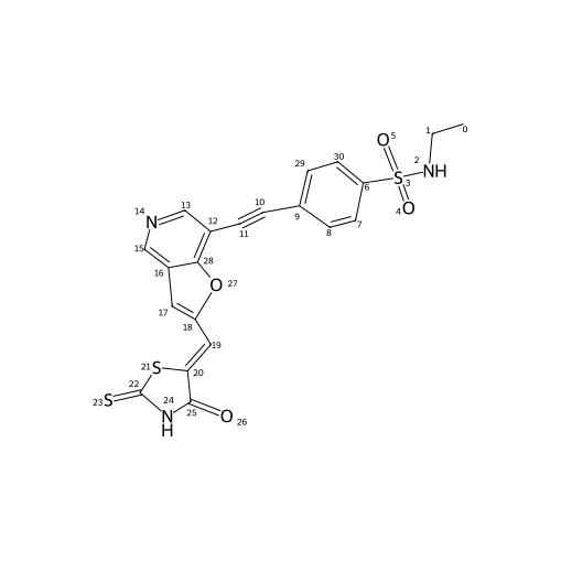 CCNS(=O)(=O)c1ccc(C#Cc2cncc3cc(/C=C4\SC(=S)NC4=O)oc23)cc1